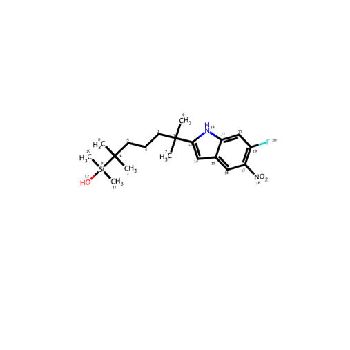 CC(C)(CCCC(C)(C)[Si](C)(C)O)c1cc2cc([N+](=O)[O-])c(F)cc2[nH]1